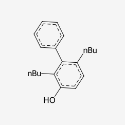 CCCCc1ccc(O)c(CCCC)c1-c1ccccc1